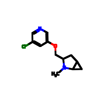 CN1C(COc2cncc(Cl)c2)CC2CC21